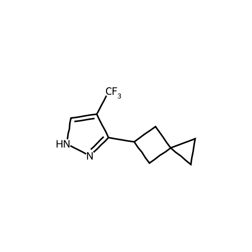 FC(F)(F)c1c[nH]nc1C1CC2(CC2)C1